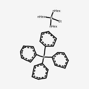 CCCCCC[P+](CC)(CCCCCC)CCCCCC.c1ccc([B-](c2ccccc2)(c2ccccc2)c2ccccc2)cc1